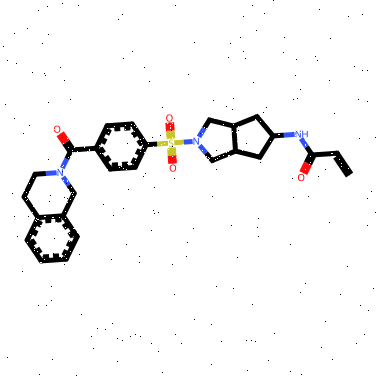 C=CC(=O)NC1CC2CN(S(=O)(=O)c3ccc(C(=O)N4CCc5ccccc5C4)cc3)CC2C1